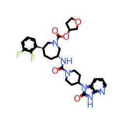 O=C(N[C@@H]1CC[C@@H](c2cccc(F)c2F)CN(C(=O)OC2CCOC2)C1)N1CCC(n2c(=O)[nH]c3ncccc32)CC1